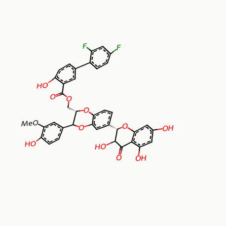 COc1cc(C2Oc3cc([C@@H]4Oc5cc(O)cc(O)c5C(=O)C4O)ccc3O[C@H]2COC(=O)c2cc(-c3ccc(F)cc3F)ccc2O)ccc1O